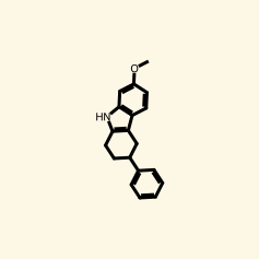 COc1ccc2c3c([nH]c2c1)CCC(c1ccccc1)C3